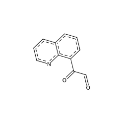 O=CC(=O)c1cccc2cccnc12